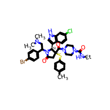 CCNC(=O)N1CCN(C(=O)[C@]2(Sc3ccc(C)cc3)CC(=O)N(C(CN(C)C)c3ccc(Br)cc3)[C@H]2c2c[nH]c3cc(Cl)ccc23)CC1